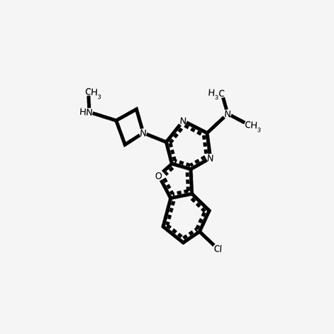 CNC1CN(c2nc(N(C)C)nc3c2oc2ccc(Cl)cc23)C1